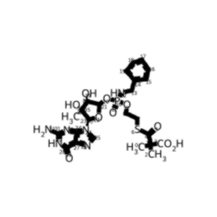 CC(C)(C(=O)O)C(=O)SCCOP(=O)(NCc1ccccc1)OC1O[C@@H](n2cnc3c(=O)[nH]c(N)nc32)[C@](C)(O)[C@@H]1O